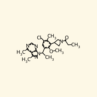 CCC(=O)N1CC(c2c(C)c(Cl)cc(C(C)n3nc(C)c4c(C)ncnc43)c2OC)C1